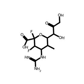 CC1C(NC(=N)N)C(F)C(F)(C(=O)O)OC1C(O)C(=O)CO